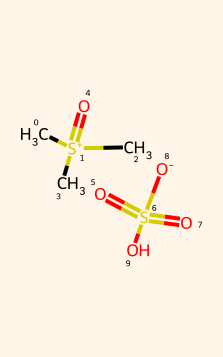 C[S+](C)(C)=O.O=S(=O)([O-])O